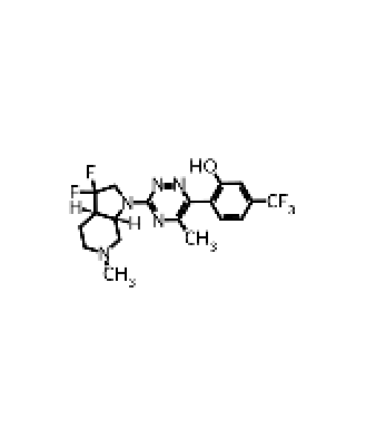 Cc1nc(N2CC(F)(F)[C@H]3CCN(C)C[C@H]32)nnc1-c1ccc(C(F)(F)F)cc1O